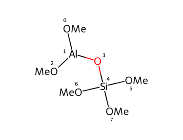 C[O][Al]([O]C)[O][Si](OC)(OC)OC